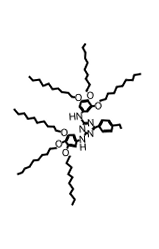 CCCCCCCCCCOc1cc(Nc2nc(Nc3cc(OCCCCCCCCCC)c(OCCCCCCCCCC)c(OCCCCCCCCCC)c3)nc(-c3ccc(CC)cc3)n2)cc(OCCCCCCCCCC)c1OCCCCCCCCCC